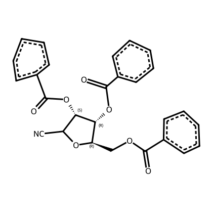 N#CC1O[C@H](COC(=O)c2ccccc2)[C@@H](OC(=O)c2ccccc2)[C@H]1OC(=O)c1ccccc1